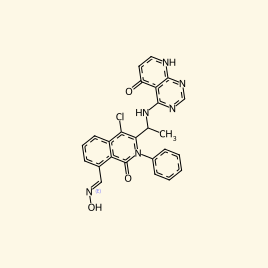 CC(Nc1ncnc2[nH]ccc(=O)c12)c1c(Cl)c2cccc(/C=N/O)c2c(=O)n1-c1ccccc1